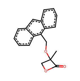 CC1(OCc2c3ccccc3cc3ccccc23)COC1=O